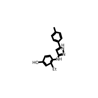 CCc1cc(O)ccc1Nc1cc(-c2ccc(C)cc2)[nH]n1